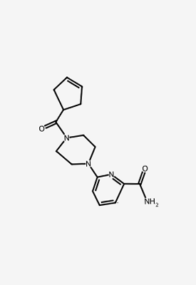 NC(=O)c1[c]ccc(N2CCN(C(=O)C3CC=CC3)CC2)n1